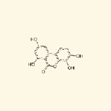 O=c1oc2c(O)c(O)ccc2c2cc(O)cc(O)c12